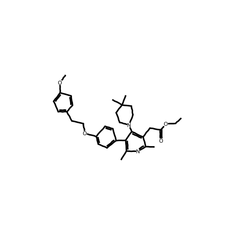 CCOC(=O)Cc1c(C)nc(C)c(-c2ccc(OCCc3ccc(OC)cc3)cc2)c1N1CCC(C)(C)CC1